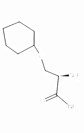 NC(=O)[C@H](N)CCC1CCCCC1